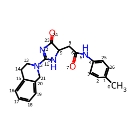 Cc1ccc(NC(=O)CC2NC(N3CCc4ccccc4C3)=NC2=O)cc1